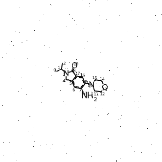 CC(C)N1Cc2cc(N)c(N3CCOCC3)cc2C1=O